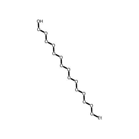 CCOOOOOOOOOOOOOOOO